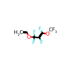 C=COC(F)(F)C(F)=C(F)OC(F)(F)F